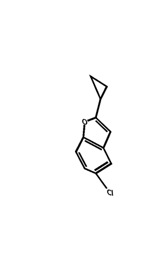 Clc1ccc2oc(C3CC3)cc2c1